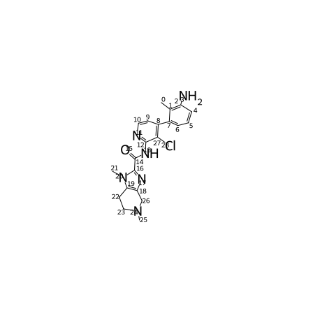 Cc1c(N)cccc1-c1ccnc(NC(=O)c2nc3c(n2C)CCN(C)C3)c1Cl